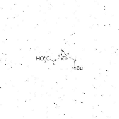 CCCCC[C@H]1C[C@H]1CC(=O)O